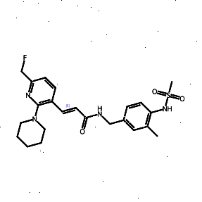 Cc1cc(CNC(=O)/C=C/c2ccc(CF)nc2N2CCCCC2)ccc1NS(C)(=O)=O